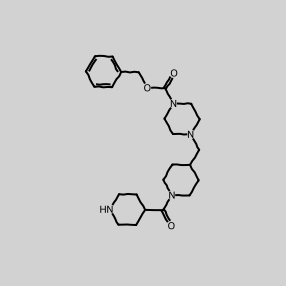 O=C(OCc1ccccc1)N1CCN(CC2CCN(C(=O)C3CCNCC3)CC2)CC1